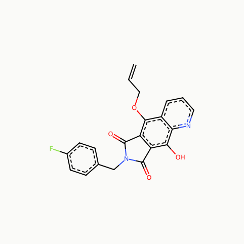 C=CCOc1c2c(c(O)c3ncccc13)C(=O)N(Cc1ccc(F)cc1)C2=O